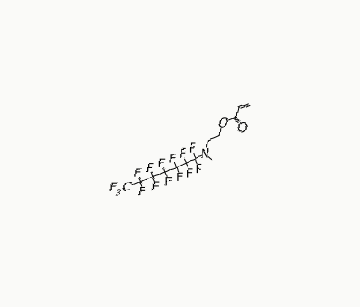 C=CC(=O)OCCN(C)C(F)(F)C(F)(F)C(F)(F)C(F)(F)C(F)(F)C(F)(F)C(F)(F)F